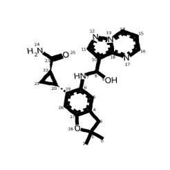 CC1(C)Cc2cc(NC(O)c3cnn4cccnc34)c([C@@H]3C[C@H]3C(N)=O)cc2O1